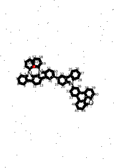 c1ccc(-n2c3ccccc3c3ccc4c5cc(-c6ccc7c(c6)c6ccccc6n7-c6ccc7c(c6)c6cccc8oc9cccc7c9c86)ccc5n(-c5ccccc5)c4c32)cc1